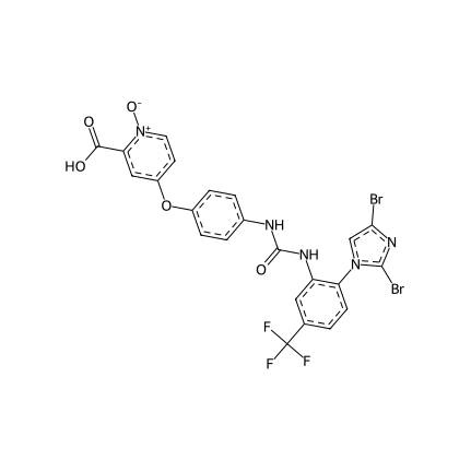 O=C(Nc1ccc(Oc2cc[n+]([O-])c(C(=O)O)c2)cc1)Nc1cc(C(F)(F)F)ccc1-n1cc(Br)nc1Br